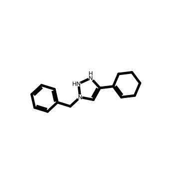 C1=C(C2=CN(Cc3ccccc3)NN2)CCCC1